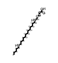 CCCCCNCCCCCCCCCCCCCNCOOOC(=O)O